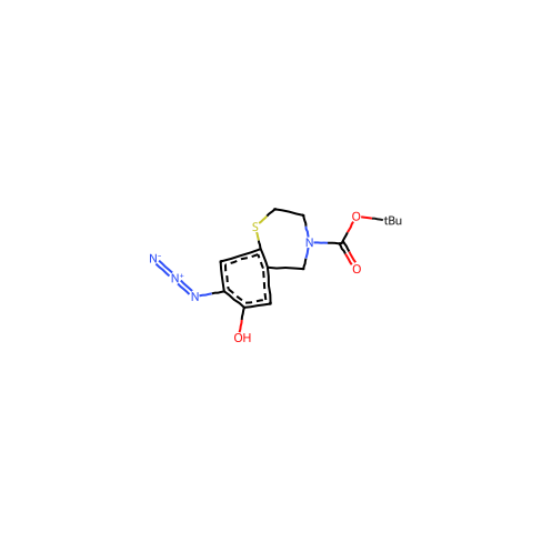 CC(C)(C)OC(=O)N1CCSc2cc(N=[N+]=[N-])c(O)cc2C1